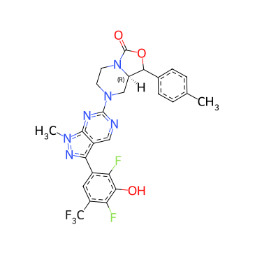 Cc1ccc(C2OC(=O)N3CCN(c4ncc5c(-c6cc(C(F)(F)F)c(F)c(O)c6F)nn(C)c5n4)C[C@H]23)cc1